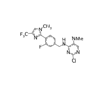 CNc1cnc(Cl)nc1NCc1ccc(-c2nc(C(F)(F)F)cn2C)c(F)c1